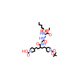 CCC/C=C/S(=O)(=O)N[C@@H](CNC(=O)CNC(=O)C(CCC1CCN(C(=O)O)CC1)CCC1CCN(C(=O)OC(C)(C)C)CC1)C(=O)OCC